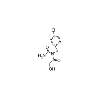 NC(=O)N(Cc1ccc(Cl)cc1)C(=O)CO